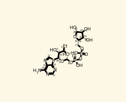 CCC(O)[C@H](O)[C@@H](OCOP(=O)(O)OP(=O)(O)OC[C@@H]1O[C@H](O)C(O)[C@@H]1O)n1cnc2c(N)ncnc21